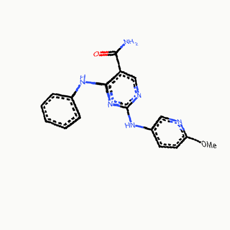 COc1ccc(Nc2ncc(C(N)=O)c(Nc3ccccc3)n2)cn1